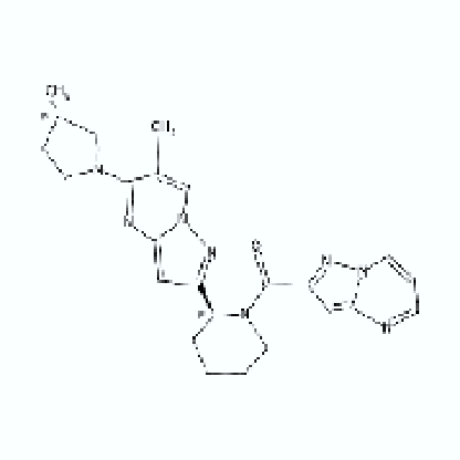 Cc1cn2nc([C@@H]3CCCCN3C(=O)c3cc4ncccn4n3)cc2nc1N1CC[C@H](C)C1